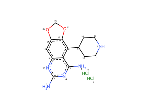 Cl.Cl.Nc1nc(N)c2c(C3CCNCC3)c3c(cc2n1)OCO3